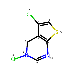 Clc1csc2c1CN(Cl)C=N2